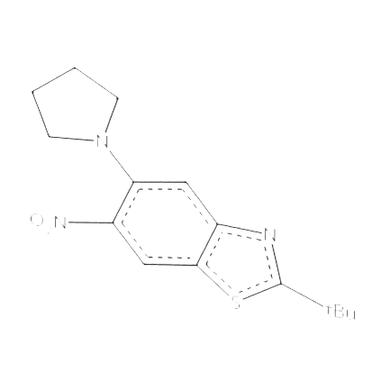 CC(C)(C)c1nc2cc(N3CCCC3)c([N+](=O)[O-])cc2s1